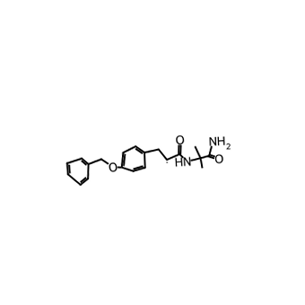 CC(C)(NC(=O)[CH]Cc1ccc(OCc2ccccc2)cc1)C(N)=O